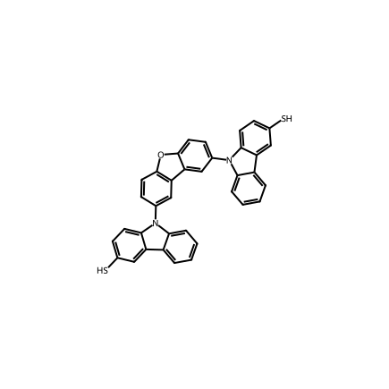 Sc1ccc2c(c1)c1ccccc1n2-c1ccc2oc3ccc(-n4c5ccccc5c5cc(S)ccc54)cc3c2c1